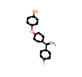 C=C(c1ccc(F)cc1)c1ccc(Oc2ccc(O)cc2)cc1